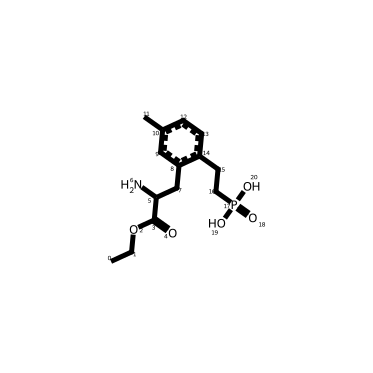 CCOC(=O)C(N)Cc1cc(C)ccc1CCP(=O)(O)O